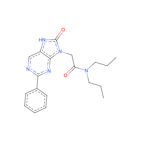 CCCN(CCC)C(=O)Cn1c(=O)[nH]c2cnc(-c3ccccc3)nc21